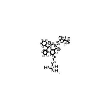 N=C(N)NCCCCc1ccc2c(c1)C(=O)N(CCC(=O)OC(=O)C(F)(F)F)CC(=O)N2C(c1ccccc1)c1ccccc1